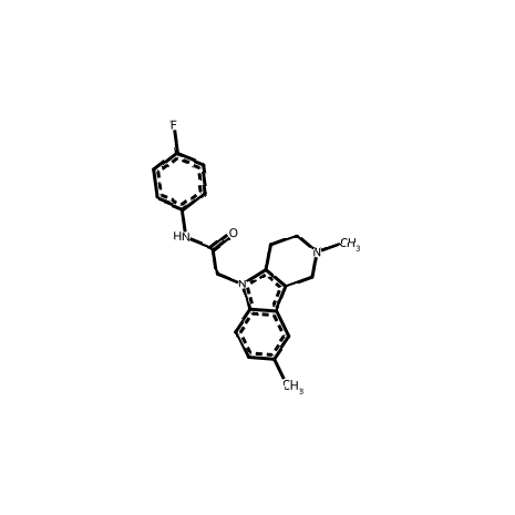 Cc1ccc2c(c1)c1c(n2CC(=O)Nc2ccc(F)cc2)CCN(C)C1